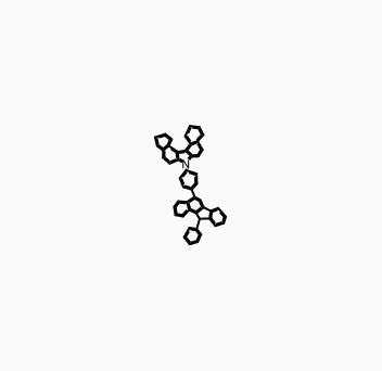 c1ccc(C2c3ccccc3-c3cc(-c4ccc(-n5c6ccc7ccccc7c6c6c7ccccc7ccc65)cc4)c4ccccc4c32)cc1